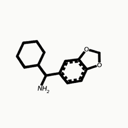 NC(c1ccc2c(c1)OCO2)C1CCCCC1